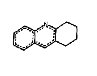 c1ccc2nc3c(cc2c1)CCCC3